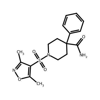 Cc1noc(C)c1S(=O)(=O)N1CCC(C(N)=O)(c2ccccc2)CC1